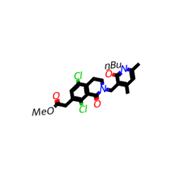 CCCCOc1nc(C)cc(C)c1CN1CCc2c(Cl)cc(CC(=O)OC)c(Cl)c2C1=O